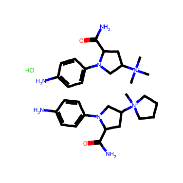 C[N+](C)(C)C1CC(C(N)=O)N(c2ccc(N)cc2)C1.C[N+]1(C2CC(C(N)=O)N(c3ccc(N)cc3)C2)CCCC1.Cl